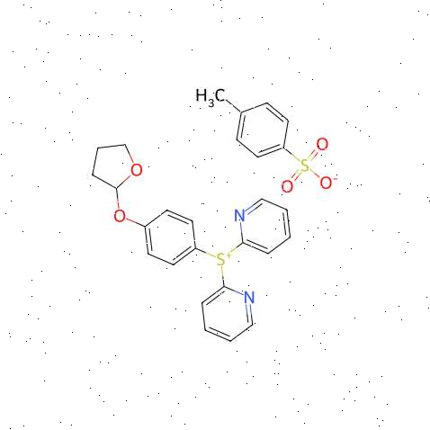 Cc1ccc(S(=O)(=O)[O-])cc1.c1ccc([S+](c2ccc(OC3CCCO3)cc2)c2ccccn2)nc1